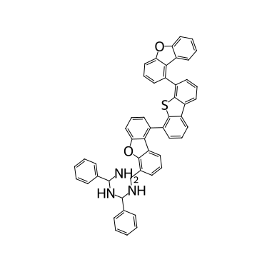 NC(NC(NCc1cccc2c1oc1cccc(-c3cccc4c3sc3c(-c5cccc6oc7ccccc7c56)cccc34)c12)c1ccccc1)c1ccccc1